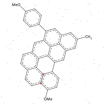 COc1ccc(-c2cc3cc(C)cc4cc(-c5ccc(OC)cc5)c5c6c(ccc7ccccc76)cc2c5c34)cc1